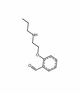 CCCNCCOc1ccccc1C=O